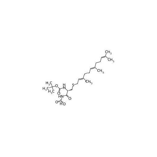 CC(C)=CCC/C(C)=C/CC/C(C)=C/CSC[C@H](NC(=O)OC(C)(C)C)C(=O)N[SH](=O)=O